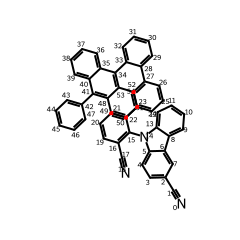 N#Cc1ccc2c(c1)c1ccccc1n2-c1c(C#N)cccc1-c1cccc(-c2ccccc2-c2c3ccccc3c(-c3ccccc3)c3ccccc23)c1